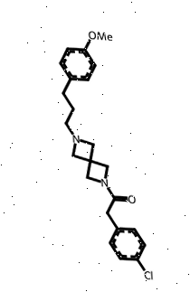 COc1ccc(CCCN2CC3(C2)CN(C(=O)Cc2ccc(Cl)cc2)C3)cc1